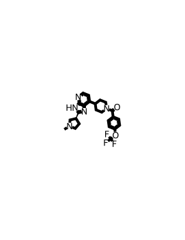 CN1CC[C@H](c2nc3c(C4CCN(C(=O)c5ccc(OC(F)(F)F)cc5)CC4)ccnc3[nH]2)C1